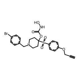 C#CCOc1ccc(S(=O)(=O)C2(OC(=O)NO)CCN(Cc3ccc(Br)cc3)CC2)cc1